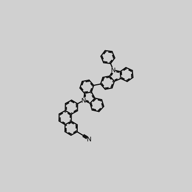 N#Cc1ccc2ccc3ccc(-n4c5ccccc5c5c(-c6ccc7c8ccccc8n(-c8ccccc8)c7c6)cccc54)cc3c2c1